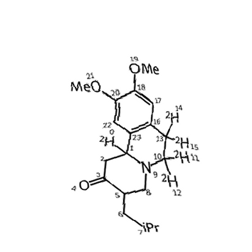 [2H]C12CC(=O)C(CC(C)C)CN1C([2H])([2H])C([2H])([2H])c1cc(OC)c(OC)cc12